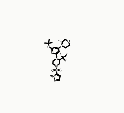 C[C@@H]1COCCN1c1cc(OC(C)(C)C)nc(N2CCN(S(=O)(=O)c3ccnn3C)CC2C(F)(F)F)c1